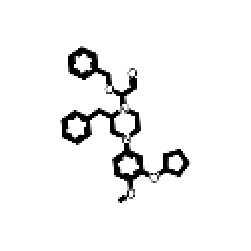 COc1ccc(N2CCN(C(C=O)OCc3ccccc3)C(Cc3ccccc3)C2)cc1OC1CCCC1